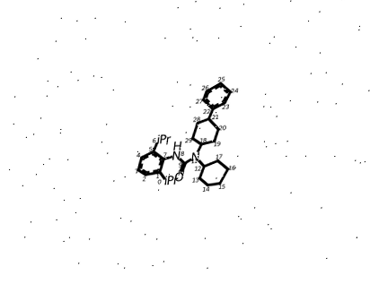 CC(C)c1cccc(C(C)C)c1NC(=O)N(C1CCCCC1)C1CCC(c2ccccc2)CC1